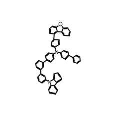 c1ccc(-c2ccc(N(c3ccc(-c4cccc(-c5cccc(-n6c7ccccc7c7ccccc76)c5)c4)cc3)c3ccc(-c4cccc5oc6ccccc6c45)cc3)cc2)cc1